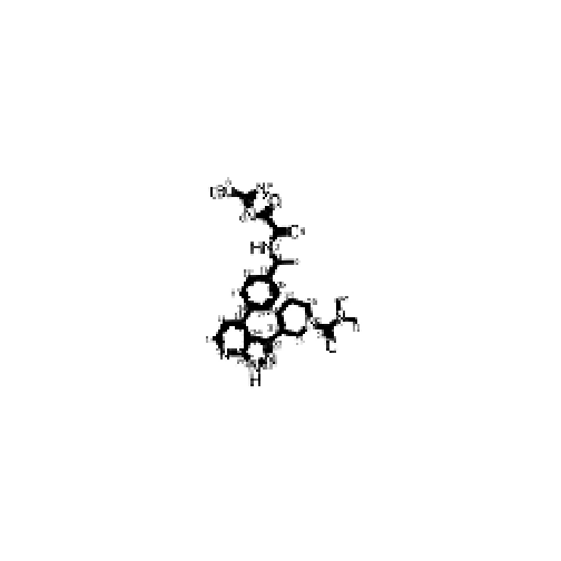 CC(NC(=O)c1nc(C(C)(C)C)no1)c1ccc(-c2ccnc3[nH]nc(C4=CCCN(C(=O)N(C)C)C4)c23)cc1